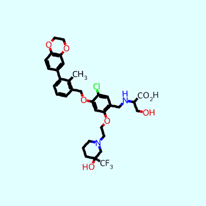 Cc1c(COc2cc(OCCN3CCCC(O)(C(F)(F)F)C3)c(CNC(CO)C(=O)O)cc2Cl)cccc1-c1ccc2c(c1)OCCO2